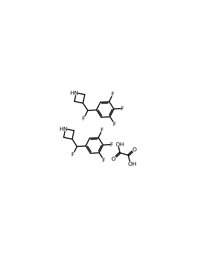 Fc1cc(C(F)C2CNC2)cc(F)c1F.Fc1cc(C(F)C2CNC2)cc(F)c1F.O=C(O)C(=O)O